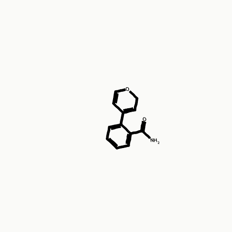 NC(=O)c1ccccc1C1=CCOC=C1